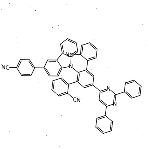 N#Cc1ccc(-c2ccc3c(c2)c2ccccc2n3-c2c(-c3ccccc3C#N)cc(-c3cc(-c4ccccc4)nc(-c4ccccc4)n3)cc2-c2ccccc2C#N)cc1